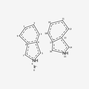 [Ir].c1ccc2c[nH]cc2c1.c1ccc2c[nH]cc2c1